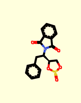 O=C1c2ccccc2C(=O)N1C(Cc1ccccc1)[C@H]1COS(=O)O1